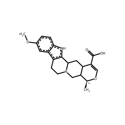 COc1ccc2[nH]c3c(c2c1)CCN1CC2C(CC31)C(C(=O)O)=CO[C@H]2C